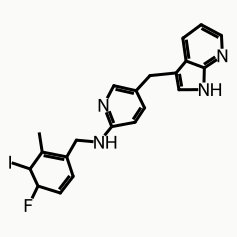 CC1=C(CNc2ccc(Cc3c[nH]c4ncccc34)cn2)C=CC(F)C1I